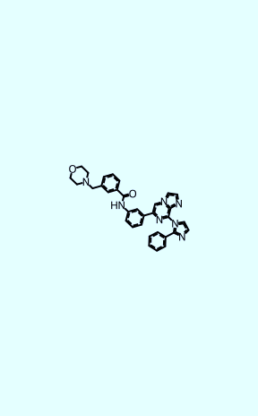 O=C(Nc1cccc(-c2cn3ccnc3c(-n3ccnc3-c3ccccc3)n2)c1)c1cccc(CN2CCOCC2)c1